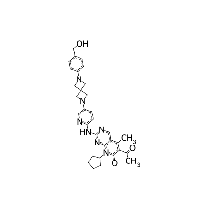 CC(=O)c1c(C)c2cnc(Nc3ccc(N4CC5(CN(c6ccc(CO)cc6)C5)C4)cn3)nc2n(C2CCCC2)c1=O